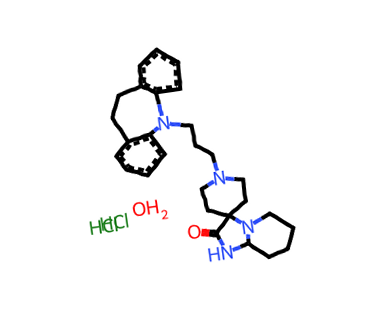 Cl.Cl.O.O=C1NC2CCCCN2C12CCN(CCCN1c3ccccc3CCc3ccccc31)CC2